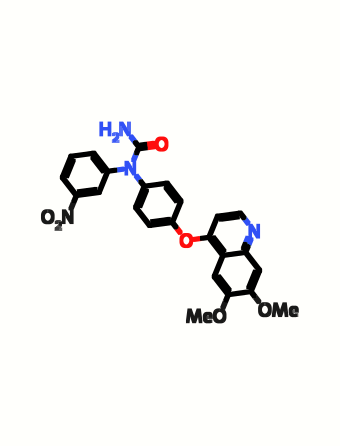 COc1cc2nccc(Oc3ccc(N(C(N)=O)c4cccc([N+](=O)[O-])c4)cc3)c2cc1OC